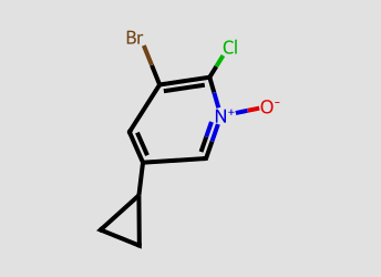 [O-][n+]1cc(C2CC2)cc(Br)c1Cl